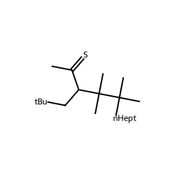 CCCCCCCC(C)(C)C(C)(C)C(CC(C)(C)C)C(C)=S